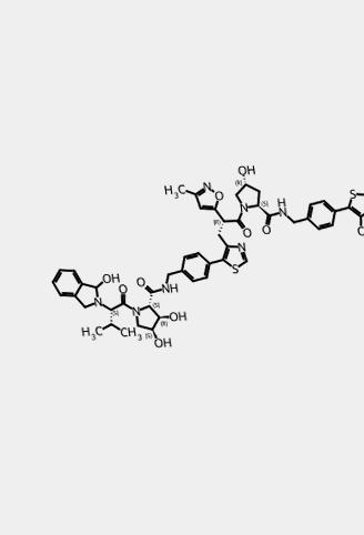 Cc1cc([C@@H](Cc2ncsc2-c2ccc(CNC(=O)[C@@H]3[C@@H](O)[C@@H](O)CN3C(=O)[C@H](C(C)C)N3Cc4ccccc4C3O)cc2)C(=O)N2C[C@H](O)C[C@H]2C(=O)NCc2ccc(-c3scnc3C)cc2)on1